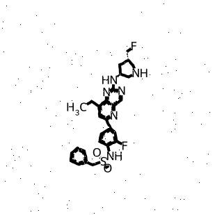 CCc1cc(-c2ccc(NS(=O)(=O)Cc3ccccc3)c(F)c2)nc2cnc(N[C@@H]3CNC[C@@H](CF)C3)nc12